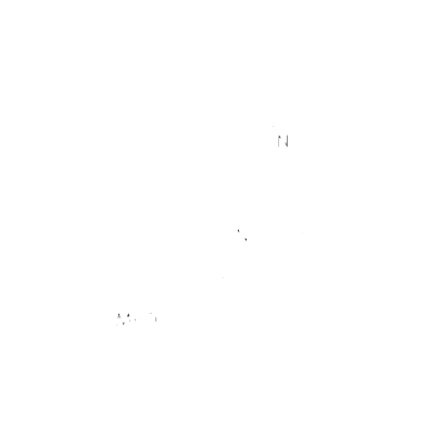 COCCN1C=CN(C)CC1